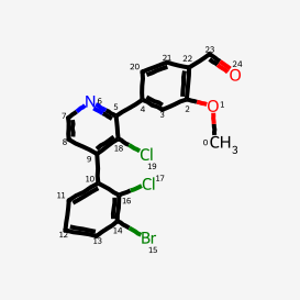 COc1cc(-c2nccc(-c3cccc(Br)c3Cl)c2Cl)ccc1C=O